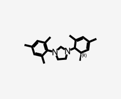 CC1=C[C@@H](C)C(N2CCN(c3c(C)cc(C)cc3C)C2)C(C)=C1